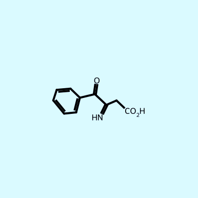 N=C(CC(=O)O)C(=O)c1ccccc1